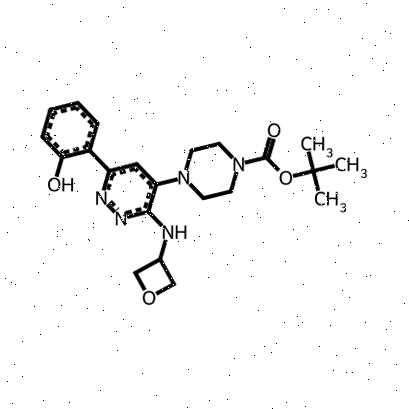 CC(C)(C)OC(=O)N1CCN(c2cc(-c3ccccc3O)nnc2NC2COC2)CC1